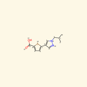 CC(C)Cn1cc(-c2ccc(C(=O)O)s2)cn1